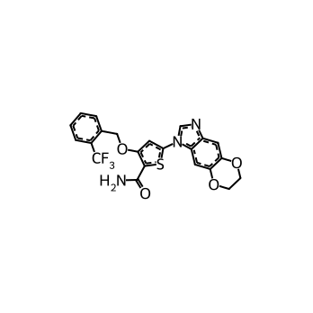 NC(=O)c1sc(-n2cnc3cc4c(cc32)OCCO4)cc1OCc1ccccc1C(F)(F)F